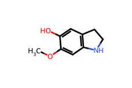 COc1cc2c(cc1O)CCN2